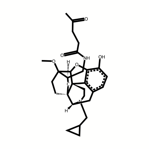 COC12CC[C@@]3(C[C@@H]1CNC(=O)CCC(C)=O)[C@H]1Cc4ccc(O)c5c4[C@@]3(CCN1CC1CC1)C2O5